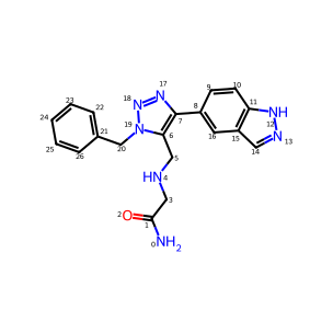 NC(=O)CNCc1c(-c2ccc3[nH]ncc3c2)nnn1Cc1ccccc1